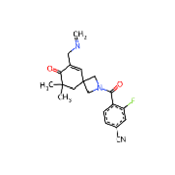 C=NCC1=CC2(CN(C(=O)c3ccc(C#N)cc3F)C2)CC(C)(C)C1=O